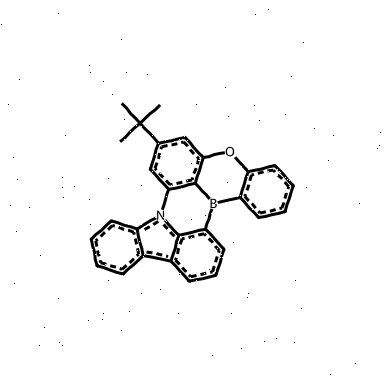 CC(C)(C)c1cc2c3c(c1)-n1c4ccccc4c4cccc(c41)B3c1ccccc1O2